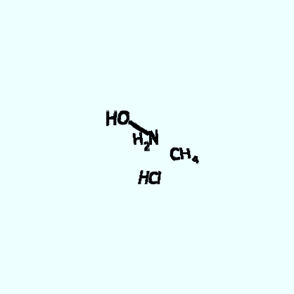 C.Cl.NO